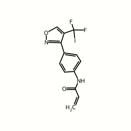 C=CC(=O)Nc1ccc(-c2nocc2C(F)(F)I)cc1